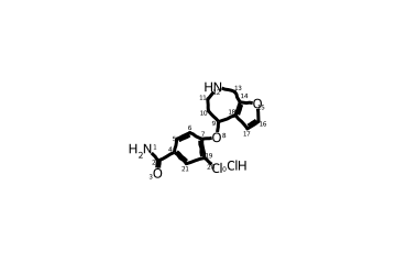 Cl.NC(=O)c1ccc(OC2CCNCc3occc32)c(Cl)c1